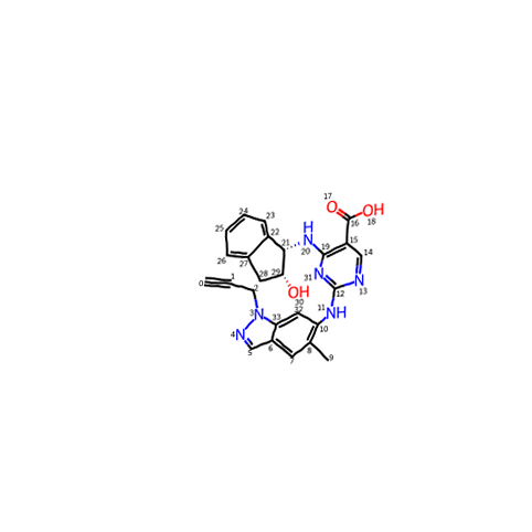 C#CCn1ncc2cc(C)c(Nc3ncc(C(=O)O)c(N[C@H]4c5ccccc5C[C@H]4O)n3)cc21